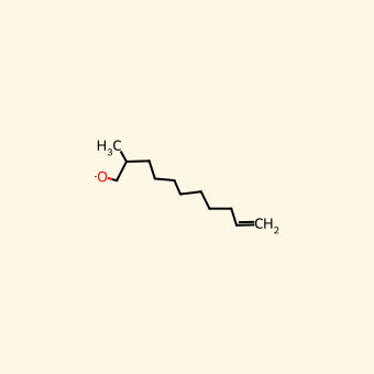 C=CCCCCCCCC(C)C[O]